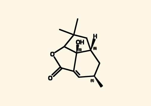 C[C@H]1C=C2C(=O)OC3C(C)(C)C[C@H](C1)[C@]23O